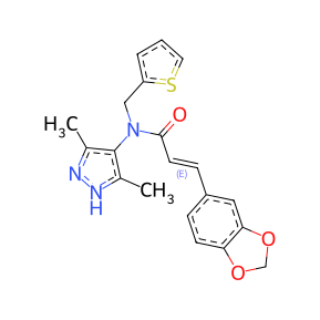 Cc1n[nH]c(C)c1N(Cc1cccs1)C(=O)/C=C/c1ccc2c(c1)OCO2